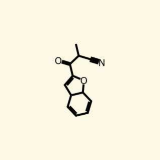 CC(C#N)C(=O)C1=CC2C=CC=CC2O1